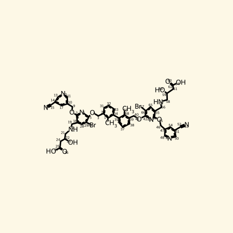 Cc1c(COc2nc(OCc3cncc(C#N)c3)c(CNCC(O)CC(=O)O)cc2Br)cccc1-c1cccc(COc2nc(OCc3cncc(C#N)c3)c(CNCC(O)CC(=O)O)cc2Br)c1C